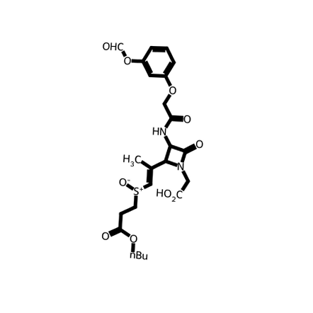 CCCCOC(=O)CC[S+]([O-])C=C(C)C1C(NC(=O)COc2cccc(OC=O)c2)C(=O)N1CC(=O)O